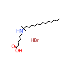 Br.CCCCCCCCCCCCCC(C)(C)NCCCCCC(=O)O